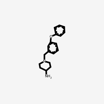 NC1CCN(Cc2cccc(Oc3ccccc3)c2)CC1